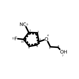 N#Cc1cc(OCCO)ccc1F